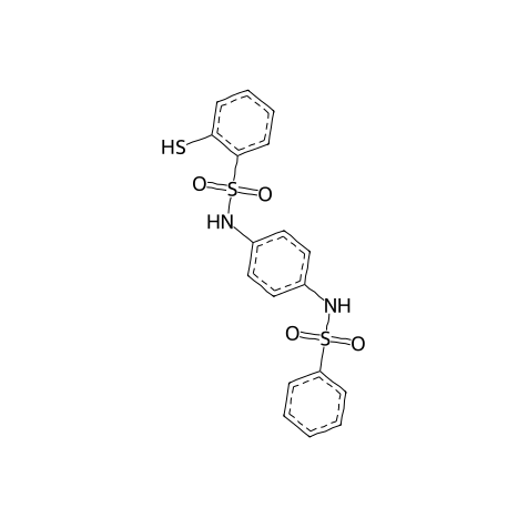 O=S(=O)(Nc1ccc(NS(=O)(=O)c2ccccc2S)cc1)c1ccccc1